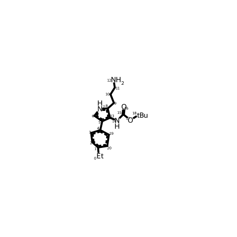 CCc1ccc(-c2c[nH]c(CCCN)c2NC(=O)OC(C)(C)C)cc1